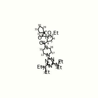 CCOC(=O)C1(C(=O)N2CCCC2C(=O)N2CCN(c3nc(N(CC)CC)nc(N(CC)CC)n3)CC2)CCCC1